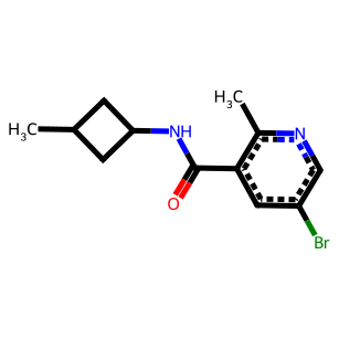 Cc1ncc(Br)cc1C(=O)NC1CC(C)C1